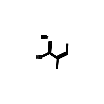 Br.CC=C(C)C(=O)O